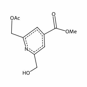 COC(=O)c1cc(CO)nc(COC(C)=O)c1